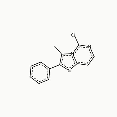 Cc1c(-c2ccccc2)nc2ccnc(Cl)n12